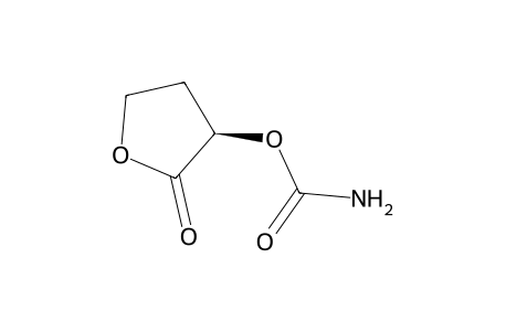 NC(=O)O[C@@H]1CCOC1=O